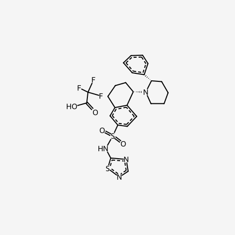 O=C(O)C(F)(F)F.O=S(=O)(Nc1ncns1)c1ccc2c(c1)CCC[C@@H]2N1CCCC[C@H]1c1ccccc1